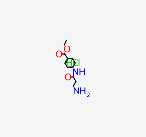 CCOC(=O)c1ccc(NC(=O)CCN)cc1.Cl